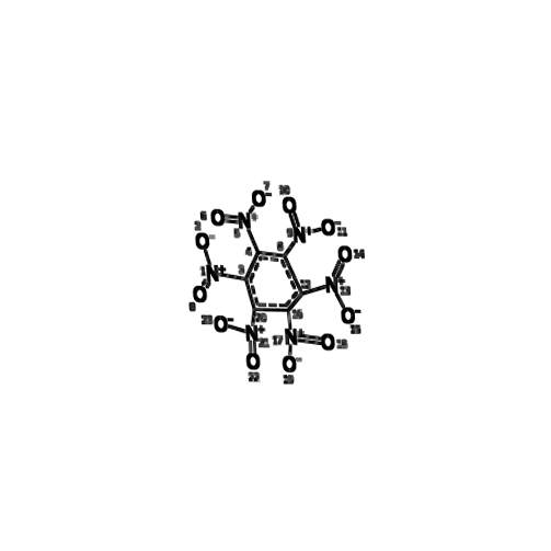 O=[N+]([O-])c1c([N+](=O)[O-])c([N+](=O)[O-])c([N+](=O)[O-])c([N+](=O)[O-])c1[N+](=O)[O-]